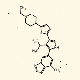 CCN1CCC(c2cnc(-c3n[nH]c(-c4cc(C)c5ncnn5c4)c3C(C)C)s2)CC1